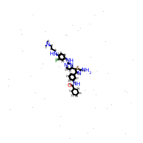 CN(C)CCCNc1ccc(Nc2nccc(-c3sc(N)nc3-c3cccc(NC(=O)C4CCCCC4)c3)n2)cc1F